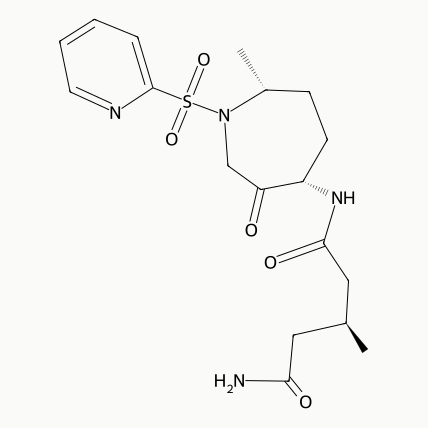 C[C@@H](CC(N)=O)CC(=O)N[C@H]1CC[C@@H](C)N(S(=O)(=O)c2ccccn2)CC1=O